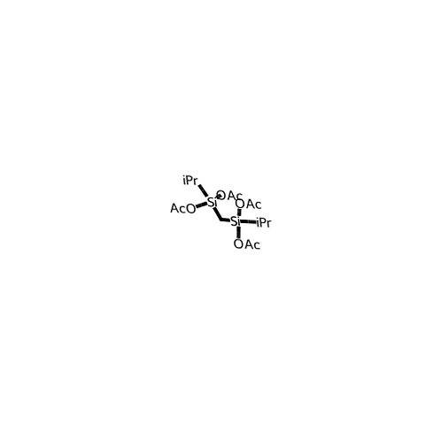 CC(=O)O[Si](C[Si](OC(C)=O)(OC(C)=O)C(C)C)(OC(C)=O)C(C)C